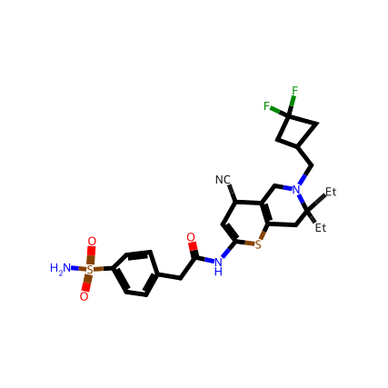 CCC1(CC)CC2=C(CN1CC1CC(F)(F)C1)C(C#N)C=C(NC(=O)Cc1ccc(S(N)(=O)=O)cc1)S2